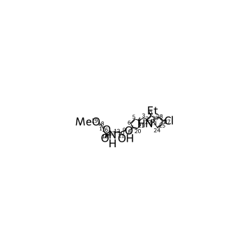 CCc1c(Cc2ccc(OCC(O)CNC(=O)OCCOC)cc2)[nH]c2ccc(Cl)cc12